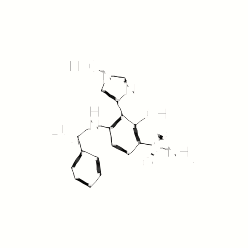 CC[C@H](Nc1ccc(S(N)(=O)=O)c(C)c1-c1cn(C)cn1)c1ccccc1